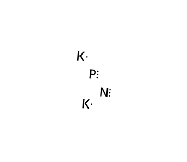 [K].[K].[N].[P]